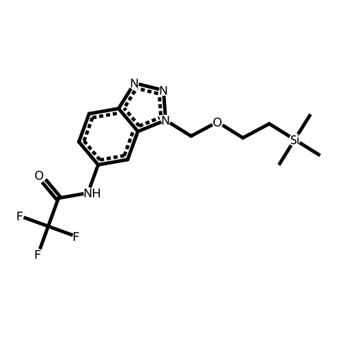 C[Si](C)(C)CCOCn1nnc2ccc(NC(=O)C(F)(F)F)cc21